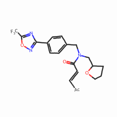 CC(=O)/C=C/C(=O)N(Cc1ccc(-c2noc(C(F)(F)F)n2)cc1)CC1CCCO1